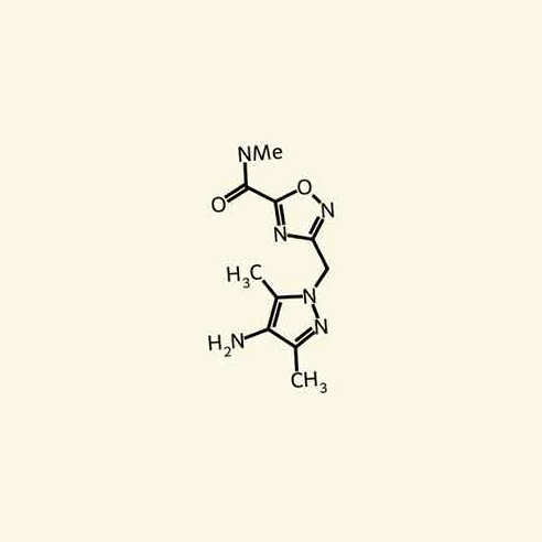 CNC(=O)c1nc(Cn2nc(C)c(N)c2C)no1